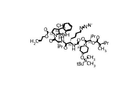 C=CCOC(=O)[C@@H]1C[C@@]2(C)c3ccccc3N[C@H]2N1C(=O)[C@H](NC(=O)[C@H](CCCCN=[N+]=[N-])NC(=O)[C@H]1C[C@@H](O[Si](C)(C)C(C)(C)C)CCN1C(=O)[C@@H](OC(=O)[C@H](C)C(C)C)C(C)C)C(C)C